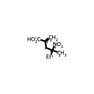 C=C(CC(C)(CC)[N+](=O)[O-])C(=O)O